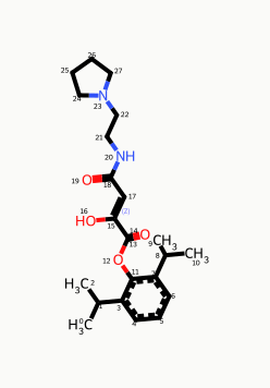 CC(C)c1cccc(C(C)C)c1OC(=O)/C(O)=C/C(=O)NCCN1CCCC1